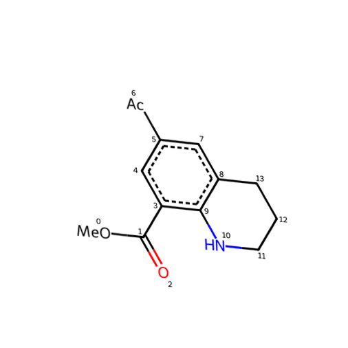 COC(=O)c1cc(C(C)=O)cc2c1NCCC2